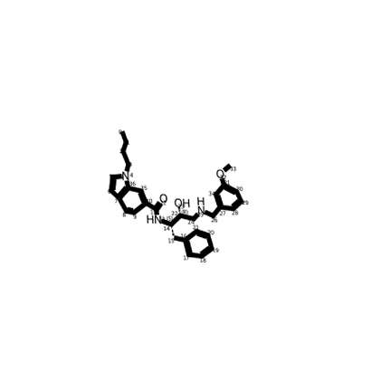 CCCCn1ccc2ccc(C(=O)N[C@@H](Cc3ccccc3)[C@H](O)CNCc3cccc(OC)c3)cc21